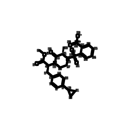 COC(=O)[C@H](Cc1ccc(C2CC2)cc1)N1CCN(S(=O)(=O)c2ccccc2[N+](=O)[O-])[C@@H](C)C1=O